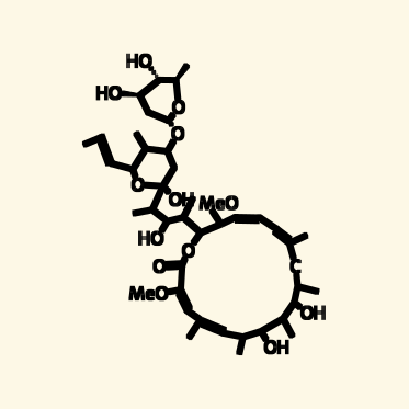 C/C=C/C1OC(O)(C(C)C(O)C(C)C2OC(=O)/C(OC)=C\C(C)=C/C(C)C(O)C(C)C(O)C(C)C/C(C)=C\C=C/C2OC)CC(O[C@@H]2C[C@@H](O)[C@H](O)[C@@H](C)O2)C1C